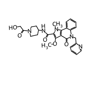 COc1c(C(=O)NC2CCN(C(=O)CO)CC2)n(C)c2c1c(=O)n(Cc1ccccn1)c1ccccc21